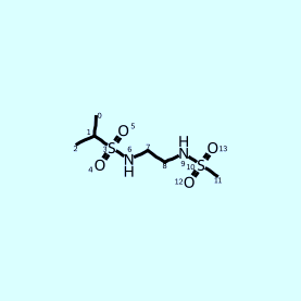 CC(C)S(=O)(=O)NCCNS(C)(=O)=O